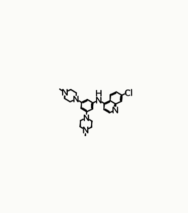 CN1CCN(c2cc(Nc3ccnc4cc(Cl)ccc34)cc(N3CCN(C)CC3)c2)CC1